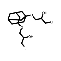 OC(CCl)COC12CC3CC(C1)CC(OCC(O)CCl)(C3)C2